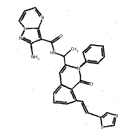 CC(NC(=O)c1c(N)nn2cccnc12)c1cc2cccc(/C=C/c3cncs3)c2c(=O)n1-c1ccccc1